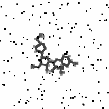 CC(C)Cc1nc(-c2ccc(OC(F)(F)F)cc2)cn(C(Cc2ccc(O)cc2)C(=O)NO)c1=O